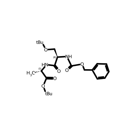 C[C@H](NC(=O)[C@@H](COC(C)(C)C)NC(=O)OCc1ccccc1)C(=O)OC(C)(C)C